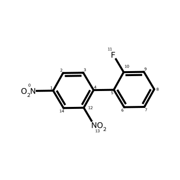 O=[N+]([O-])c1ccc(-c2ccccc2F)c([N+](=O)[O-])c1